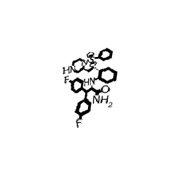 NC(=O)[C@@H](N[C@@H]1CCCC[C@H]1CC[C@H]1CNCCN1S(=O)(=O)c1ccccc1)C(c1ccc(F)cc1)c1ccc(F)cc1